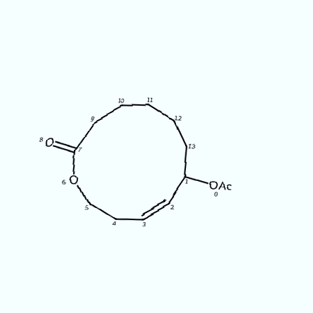 CC(=O)OC1C=CCCOC(=O)CCCCC1